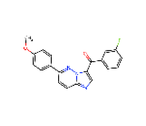 COc1ccc(-c2ccc3ncc(C(=O)c4cccc(F)c4)n3n2)cc1